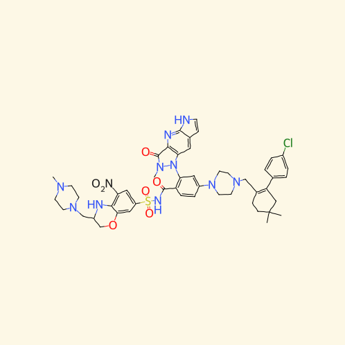 CN1CCN(CC2COc3cc(S(=O)(=O)NC(=O)c4ccc(N5CCN(CC6=C(c7ccc(Cl)cc7)CC(C)(C)CC6)CC5)cc4-n4c5cc6cc[nH]c6nc5c(=O)n4C)cc([N+](=O)[O-])c3N2)CC1